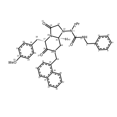 CCCN(C(=O)NCc1ccccc1)N1CC(=O)N2[C@@H](Cc3ccc(OC)cc3)C(=O)N(Cc3cccc4ccccc34)C[C@@H]21